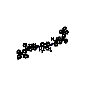 CC1(C)c2cc(/C=C/c3ccc4c(c3)C(C)(C)c3cc(N(c5ccccc5)c5ccc([Si](c6ccccc6)(c6ccccc6)c6ccccc6)cc5)ccc3-4)ccc2-c2ccc(/C=C/c3ccc4c(c3)C(C)(C)c3cc(N(c5ccccc5)c5ccc([Si](c6ccccc6)(c6ccccc6)c6ccccc6)cc5)ccc3-4)cc21